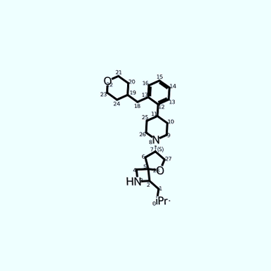 C[C](C)CC1NCC12C[C@H](N1CCC(c3ccccc3CC3CCOCC3)CC1)CO2